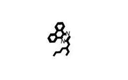 CCCCC(CC)Cc1cnc2c3ccccc3c3ccccc3c2n1